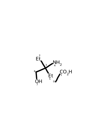 CC(=O)O.CCC(N)(CC)CO